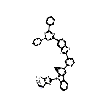 C/C=C\c1nc(-n2c3ccccc3c3cc(-c4cccc(-c5nc6ccc(-c7nc(-c8ccccc8)nc(-c8ccccc8)n7)cc6o5)c4)c4c(c32)=C=4)oc1C